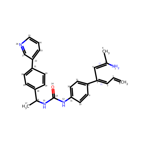 C=C/C=C(\C=C(\C)N)c1ccc(NC(=O)NC(C)c2ccc(-c3cccnc3)cc2)cc1